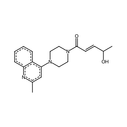 Cc1cc(N2CCN(C(=O)C=CC(C)O)CC2)c2ccccc2n1